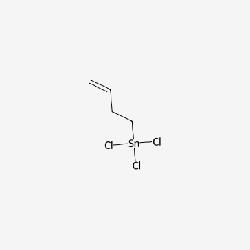 C=CC[CH2][Sn]([Cl])([Cl])[Cl]